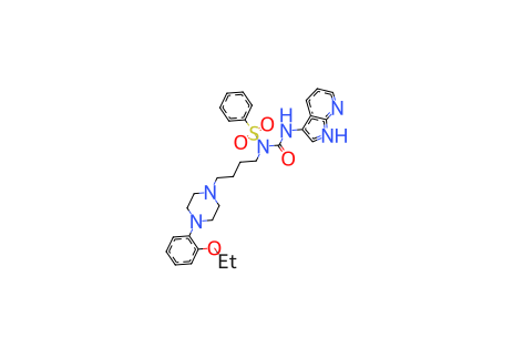 CCOc1ccccc1N1CCN(CCCCN(C(=O)Nc2c[nH]c3ncccc23)S(=O)(=O)c2ccccc2)CC1